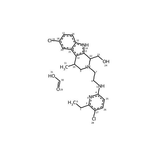 CCc1nc(NCCN2CC(C)c3c([nH]c4ccc(Cl)cc34)C2CO)ccc1Cl.O=CO